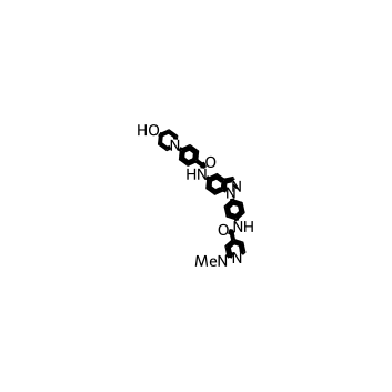 CNc1cc(C(=O)Nc2ccc(-n3ncc4cc(NC(=O)c5ccc(N6CCC(O)CC6)cc5)ccc43)cc2)ccn1